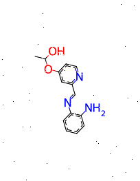 CC(O)Oc1ccnc(/C=N/c2ccccc2N)c1